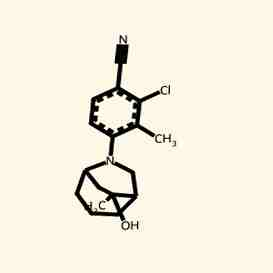 Cc1c(N2CC3CCCC2CC3(C)O)ccc(C#N)c1Cl